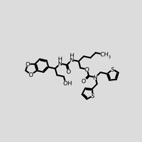 CCCCC(COC(=O)N(Cc1cccs1)Cc1cccs1)NC(=O)NC(CCO)c1ccc2c(c1)OCO2